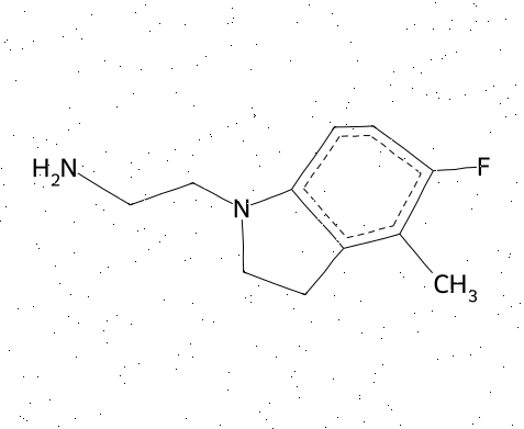 Cc1c(F)ccc2c1CCN2CCN